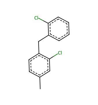 Cc1ccc(Cc2ccccc2Cl)c(Cl)c1